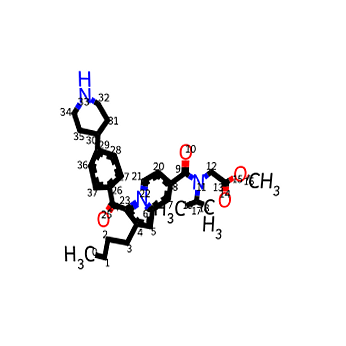 CCCCc1cc2cc(C(=O)N(CC(=O)OC)C(C)C)ccn2c1C(=O)c1ccc(C2CCNCC2)cc1